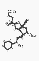 C#CC12CC(O)C(C=C[C@H](O)C3CCCCC3)C1CC(C(S)CCC(=O)[O-])=N2.[Na+]